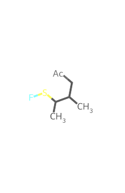 CC(=O)CC(C)C(C)SF